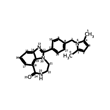 Cc1ccc(C)n1Cc1ccc(-c2nc3cccc4c3n2CCNC4=O)cc1